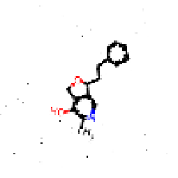 Cc1ncc2c(c1O)COC2CCc1ccccc1